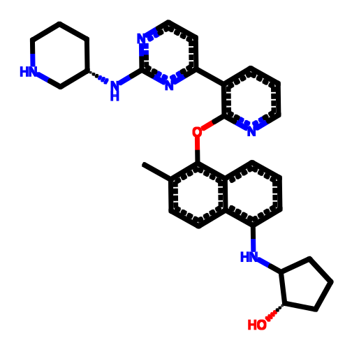 Cc1ccc2c(NC3CCC[C@@H]3O)cccc2c1Oc1ncccc1-c1ccnc(N[C@H]2CCCNC2)n1